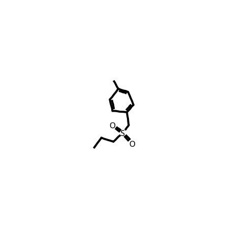 CCCS(=O)(=O)Cc1ccc(C)cc1